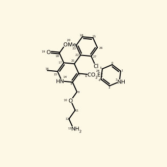 C1=CNC=CC1.CCOC(=O)C1=C(COCCN)NC(C)=C(C(=O)OC)C1c1ccccc1Cl